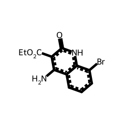 CCOC(=O)c1c(N)c2cccc(Br)c2[nH]c1=O